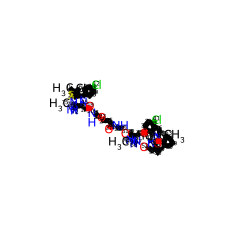 Cc1sc2c(c1C)C(c1ccc(Cl)cc1)=N[C@@H](CC(=O)NCCOCCC(=O)NCCOCc1c(COc3ccc(Cl)c4c3[C@@H](CN3CC5(CC5)CC3=O)N(C(=O)[C@@H]3CCCC[C@]3(C)C(=O)O)CC4)nnn1C)c1nnc(C)n1-2